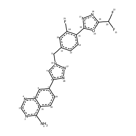 Nc1ncnc2cc(-c3cn(Cc4ccc(-c5nnc(C(F)F)o5)c(F)c4)nn3)ccc12